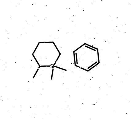 CC1CCCC[Si]1(C)C.c1ccccc1